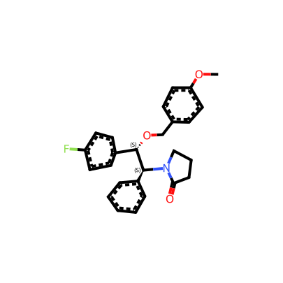 COc1ccc(CO[C@@H](c2ccc(F)cc2)[C@H](c2ccccc2)N2CCCC2=O)cc1